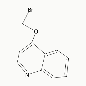 BrCOc1ccnc2ccccc12